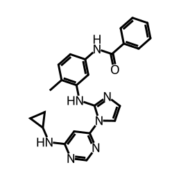 Cc1ccc(NC(=O)c2ccccc2)cc1Nc1nccn1-c1cc(NC2CC2)ncn1